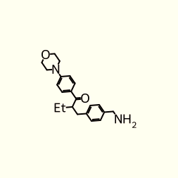 CCC(Cc1ccc(CN)cc1)C(=O)c1ccc(N2CCOCC2)cc1